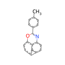 Cc1ccc(C2=Nc3ccc4c5c-4ccc(c35)O2)cc1